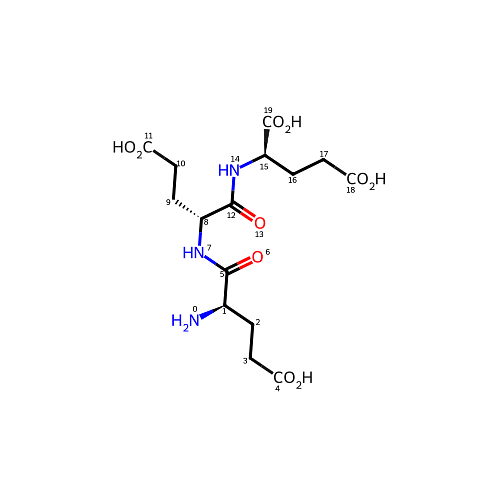 N[C@H](CCC(=O)O)C(=O)N[C@H](CCC(=O)O)C(=O)N[C@H](CCC(=O)O)C(=O)O